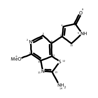 COc1ncc(C2=CC(=O)NC2)c2sc(N)nc12